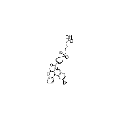 CC(=O)C1=C(c2ccccc2)c2cc(Br)ccc2CN1C(=O)c1ccc(S(=O)(=O)CCCCC(=O)O)cc1